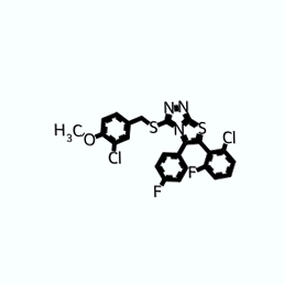 COc1ccc(CSc2nnc3sc(-c4c(F)cccc4Cl)c(-c4ccc(F)cc4)n23)cc1Cl